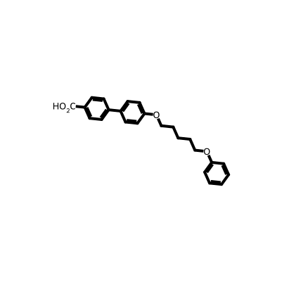 O=C(O)c1ccc(-c2ccc(OCCCCCOc3ccccc3)cc2)cc1